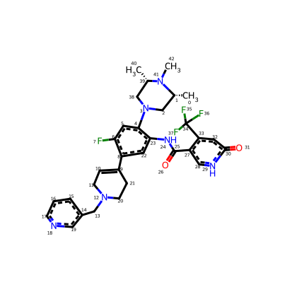 C[C@@H]1CN(c2cc(F)c(C3=CCN(Cc4cccnc4)CC3)cc2NC(=O)c2c[nH]c(=O)cc2C(F)(F)F)C[C@H](C)N1C